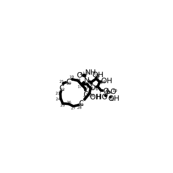 NC(=O)N(C1OC(COP(=O)(O)O)C(O)C1O)C12CCCCCCCCCCCCC(CC1)C(O)CC2